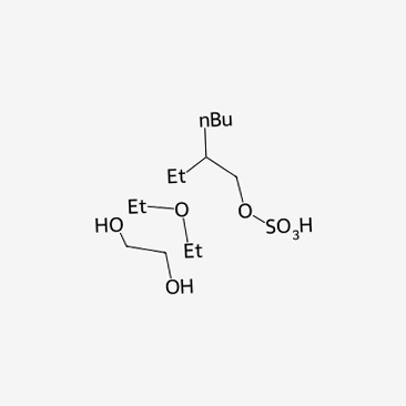 CCCCC(CC)COS(=O)(=O)O.CCOCC.OCCO